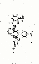 CC(C)N1CCC(c2cc3c(N[C@H](C)c4cccc(C(F)F)c4F)ncnc3nc2OC2CN(C)C2)CC1